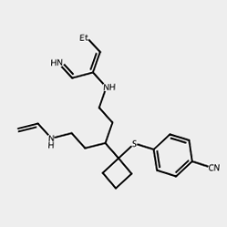 C=CNCCC(CCN/C(C=N)=C/CC)C1(Sc2ccc(C#N)cc2)CCC1